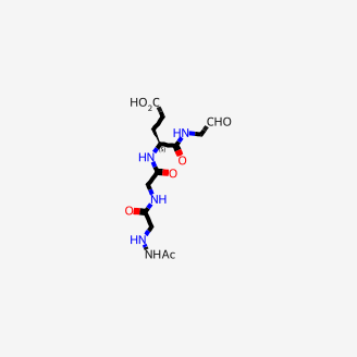 CC(=O)NNCC(=O)NCC(=O)N[C@@H](CCC(=O)O)C(=O)NCC=O